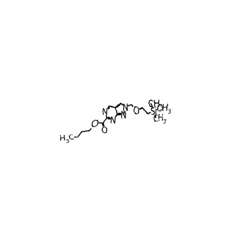 CCCCOC(=O)c1ncc2cn(COCC[Si](C)(C)C)nc2n1